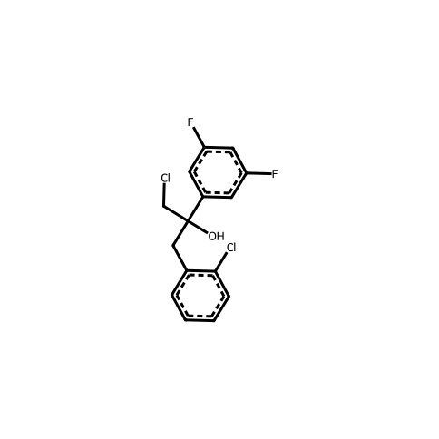 OC(CCl)(Cc1ccccc1Cl)c1cc(F)cc(F)c1